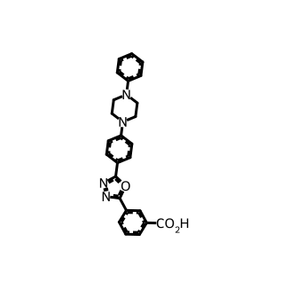 O=C(O)c1cccc(-c2nnc(-c3ccc(N4CCN(c5ccccc5)CC4)cc3)o2)c1